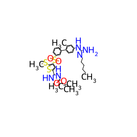 CCCCCCN=C(N)Nc1ccc(-c2cccc(S(=O)(=O)c3cc(C(=N)NC(=O)OC(C)(C)C)sc3SC)c2)c(C)c1